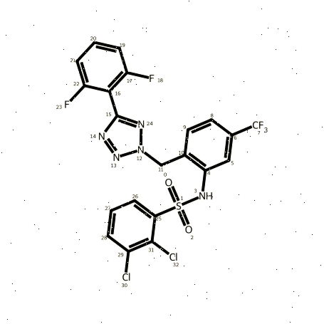 O=S(=O)(Nc1cc(C(F)(F)F)ccc1Cn1nnc(-c2c(F)cccc2F)n1)c1cccc(Cl)c1Cl